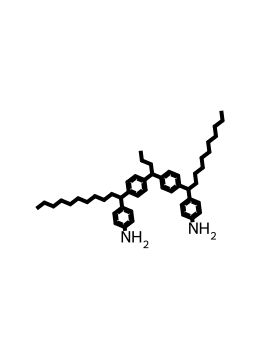 CCCCCCCCCCC(c1ccc(N)cc1)c1ccc(C(CCC)c2ccc(C(CCCCCCCCCC)c3ccc(N)cc3)cc2)cc1